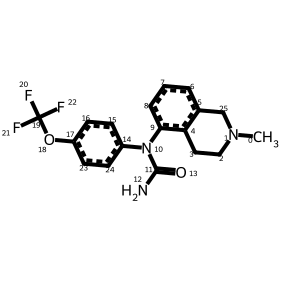 CN1CCc2c(cccc2N(C(N)=O)c2ccc(OC(F)(F)F)cc2)C1